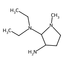 CCN(CC)C1C(N)CCN1C